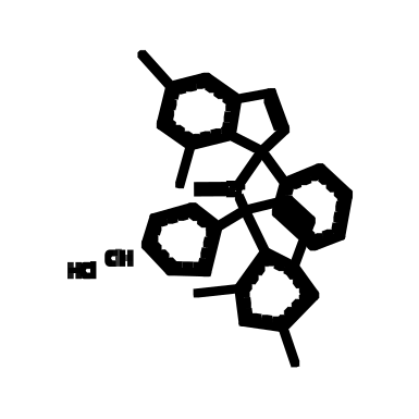 Cl.Cl.[CH2]=[Zr]([C]1(c2ccccc2)C=Cc2cc(C)cc(C)c21)[C]1(c2ccccc2)C=Cc2cc(C)cc(C)c21